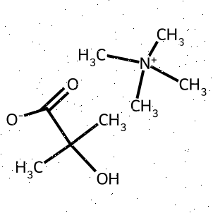 CC(C)(O)C(=O)[O-].C[N+](C)(C)C